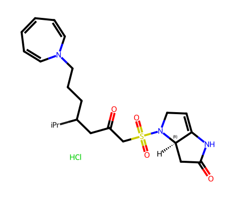 CC(C)C(CCCN1C=CC=CC=C1)CC(=O)CS(=O)(=O)N1CC=C2NC(=O)C[C@H]21.Cl